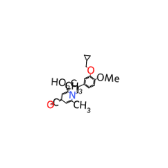 COc1ccc(C(=CN2C(C)=CC(=C=O)C=C2C)C(=O)O)cc1OCC1CC1